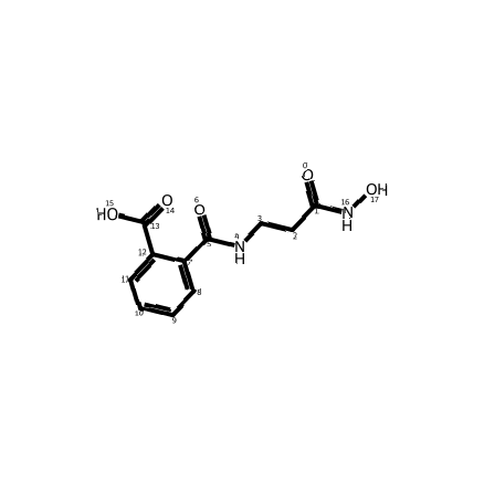 O=C(CCNC(=O)c1ccccc1C(=O)O)NO